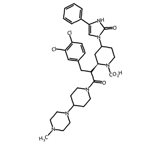 CN1CCN(C2CCN(C(=O)C(Cc3ccc(Cl)c(Cl)c3)[C@H]3CC(n4cc(-c5ccccc5)[nH]c4=O)CCN3C(=O)O)CC2)CC1